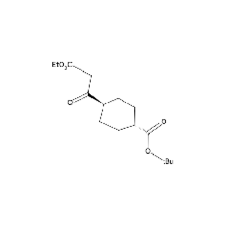 CCOC(=O)CC(=O)[C@H]1CC[C@H](C(=O)OC(C)(C)C)CC1